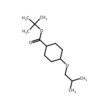 CC(C)COC1CCC(C(=O)OC(C)(C)C)CC1